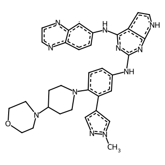 Cn1cc(-c2cc(Nc3nc(Nc4[c]c5nccnc5cc4)c4cc[nH]c4n3)ccc2N2CCC(N3CCOCC3)CC2)cn1